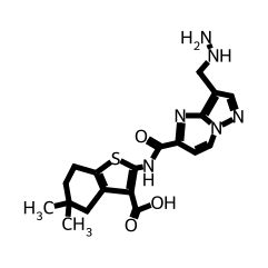 CC1(C)CCc2sc(NC(=O)c3ccn4ncc(CNN)c4n3)c(C(=O)O)c2C1